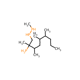 CCCC(C)C(C)CC(C)C(C)(P)CPPC